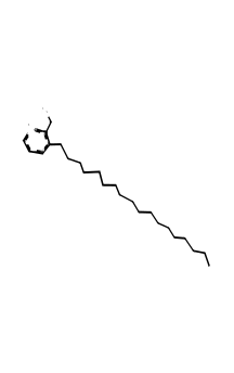 CCCCCCCCCCCCCCCCCCc1cccnc1CN